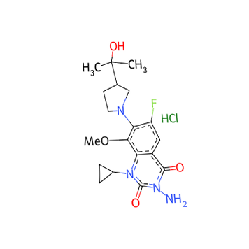 COc1c(N2CCC(C(C)(C)O)C2)c(F)cc2c(=O)n(N)c(=O)n(C3CC3)c12.Cl